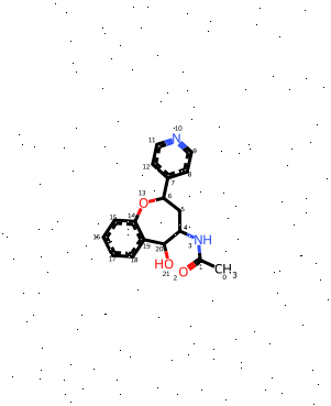 CC(=O)NC1CC(c2ccncc2)Oc2ccccc2C1O